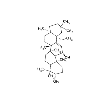 CC[C@@]12CC(C)(C)CC[C@]1(C)CC[C@]1(C)C2=C[C@@H](O)C2[C@@]3(C)CC[C@H](O)C(C)(C)C3CC[C@]21C